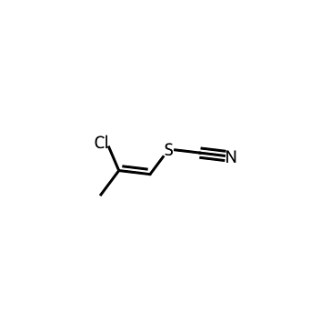 CC(Cl)=CSC#N